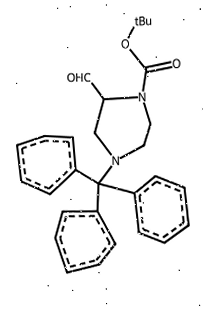 CC(C)(C)OC(=O)N1CCN(C(c2ccccc2)(c2ccccc2)c2ccccc2)CC1C=O